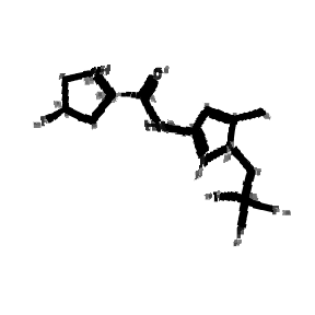 Cc1cc(NC(=O)[C@@H]2C[C@@H](F)CN2)nn1CC(F)(F)F